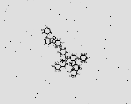 c1ccc(-c2cccc3c2oc2ccc(-c4ccc(N(c5ccc6ccccc6c5)c5ccc(-c6ccccc6)c6c5oc5c7ccccc7ccc56)cc4)cc23)cc1